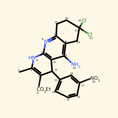 CCOC(=O)C1=C(C)Nc2nc3c(c(N)c2C1c1cccc([N+](=O)[O-])c1)CC(Cl)(Cl)CC3